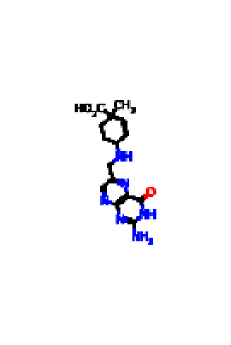 CC1(C(=O)O)C=CC(NCc2cnc3nc(N)[nH]c(=O)c3n2)CC1